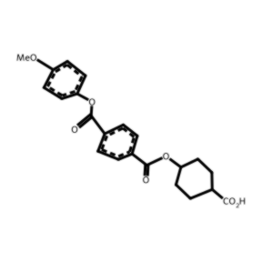 COc1ccc(OC(=O)c2ccc(C(=O)OC3CCC(C(=O)O)CC3)cc2)cc1